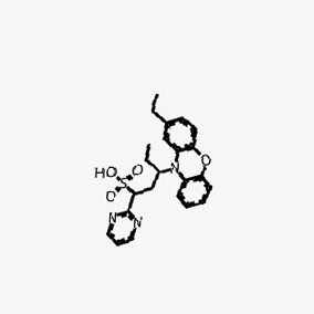 CCc1ccc2c(c1)N(C(CC)CC(c1ncccn1)S(=O)(=O)O)c1ccccc1O2